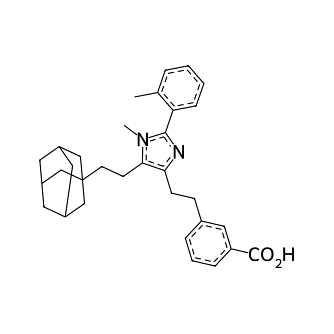 Cc1ccccc1-c1nc(CCc2cccc(C(=O)O)c2)c(CCC23CC4CC(CC(C4)C2)C3)n1C